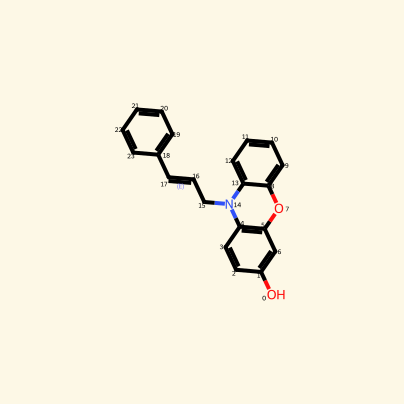 Oc1ccc2c(c1)Oc1ccccc1N2C/C=C/c1ccccc1